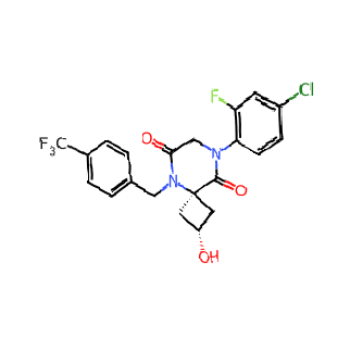 O=C1CN(c2ccc(Cl)cc2F)C(=O)[C@]2(C[C@@H](O)C2)N1Cc1ccc(C(F)(F)F)cc1